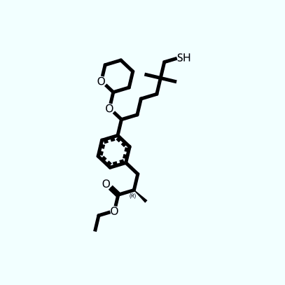 CCOC(=O)[C@H](C)Cc1cccc(C(CCCC(C)(C)CS)OC2CCCCO2)c1